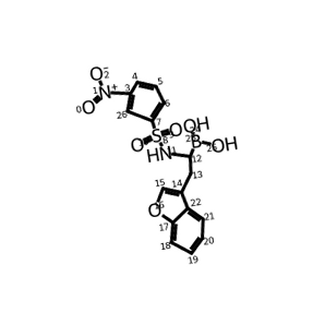 O=[N+]([O-])c1cccc(S(=O)(=O)NC(Cc2coc3ccccc23)B(O)O)c1